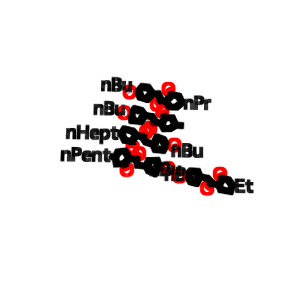 CCCCCC1CCC(C(=O)Cc2ccc(OCCCC)cc2)C(=O)C1.CCCCCCCC1CCC(C(=O)Cc2ccc(OCCCC)cc2)C(=O)C1.CCCCOc1ccc(CC(=O)C2CCC(C)CC2=O)cc1.CCCCOc1ccc(CC(=O)C2CCC(CC)CC2=O)cc1.CCCCOc1ccc(CC(=O)C2CCC(CCC)CC2=O)cc1